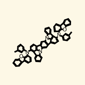 Cc1cccc(N(c2cccc3c2oc2ccccc23)c2ccc3c4cc5c(cc4n4c6ccccc6c2c34)c2ccc(N(c3cccc(C)c3)c3cccc4c3oc3ccccc34)c3c4ccccc4n5c23)c1